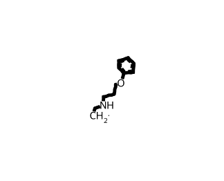 [CH2]CNCCCOc1ccccc1